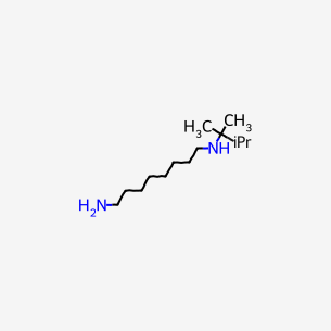 CC(C)C(C)(C)NCCCCCCCCN